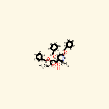 CC[C@H]1OC(O)(c2ccc(OCc3ccccc3)nc2C)[C@@H](OCc2ccccc2)C1OCc1ccccc1